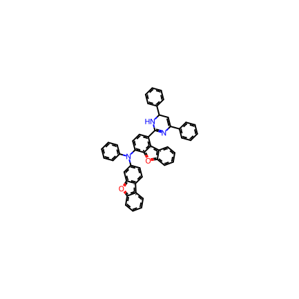 C1=C(c2ccccc2)N=C(c2ccc(N(c3ccccc3)c3ccc4c(c3)oc3ccccc34)c3oc4ccccc4c23)NC1c1ccccc1